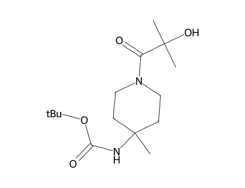 CC1(NC(=O)OC(C)(C)C)CCN(C(=O)C(C)(C)O)CC1